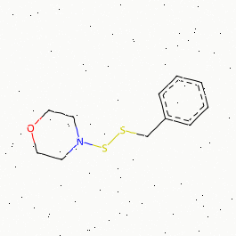 c1ccc(CSSN2CCOCC2)cc1